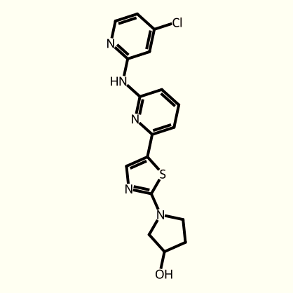 OC1CCN(c2ncc(-c3cccc(Nc4cc(Cl)ccn4)n3)s2)C1